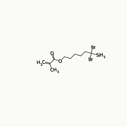 C=C(C)C(=O)OCCCCCC([SiH3])(Br)Br